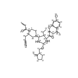 C=CC(=O)N1CCN(C2NC(OCC3CCCN3C)NC3C(=O)[C@]4(CCC32)CN(C)c2ccc(Cl)cc2O4)CC1CC#N